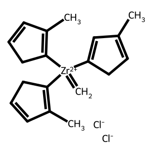 [CH2]=[Zr+2]([C]1=CC(C)=CC1)([C]1=C(C)C=CC1)[C]1=C(C)C=CC1.[Cl-].[Cl-]